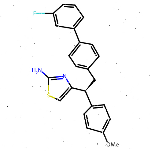 COc1ccc([C@H](Cc2ccc(-c3cccc(F)c3)cc2)c2csc(N)n2)cc1